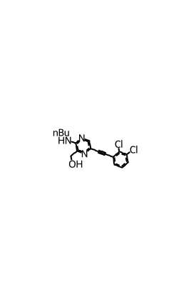 CCCCNc1ncc(C#Cc2cccc(Cl)c2Cl)nc1CO